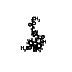 CCOC(=O)CCc1csc(CC2SC(c3cccc(OC)c3OC)c3cc(Cl)ccc3NC2=O)n1